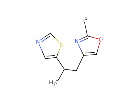 CC(C)c1nc(CC(C)c2cncs2)co1